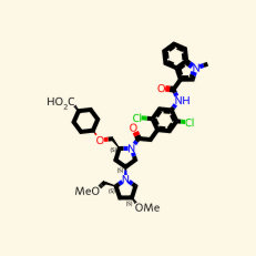 COC[C@@H]1C[C@H](OC)CN1[C@H]1C[C@@H](CO[C@H]2CC[C@H](C(=O)O)CC2)N(C(=O)Cc2cc(Cl)c(NC(=O)c3cn(C)c4ccccc34)cc2Cl)C1